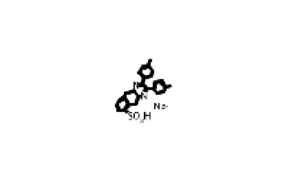 Cc1ccc(-c2nc3cc4cccc(S(=O)(=O)O)c4cc3nc2-c2ccc(C)cc2)cc1.[Na]